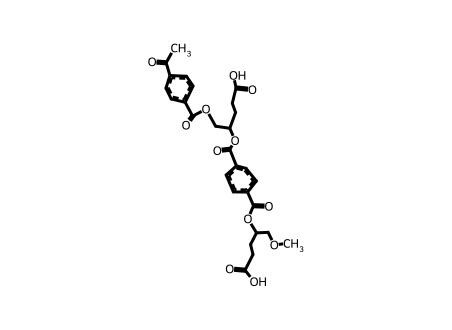 COCC(CCC(=O)O)OC(=O)c1ccc(C(=O)OC(CCC(=O)O)COC(=O)c2ccc(C(C)=O)cc2)cc1